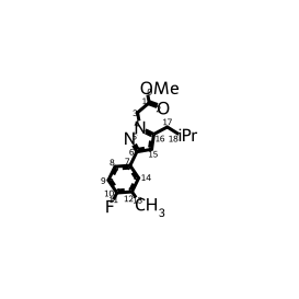 COC(=O)Cn1nc(-c2ccc(F)c(C)c2)cc1CC(C)C